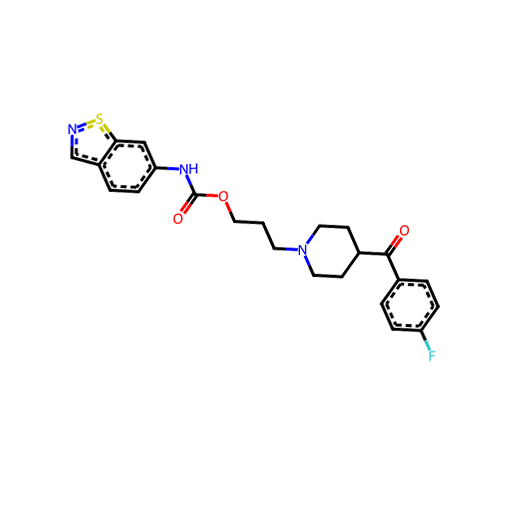 O=C(Nc1ccc2cnsc2c1)OCCCN1CCC(C(=O)c2ccc(F)cc2)CC1